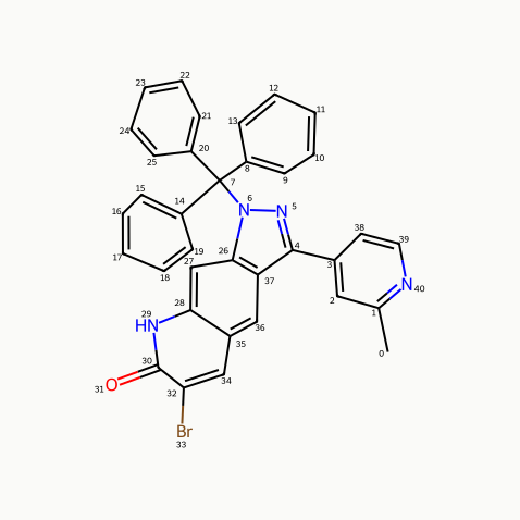 Cc1cc(-c2nn(C(c3ccccc3)(c3ccccc3)c3ccccc3)c3cc4[nH]c(=O)c(Br)cc4cc23)ccn1